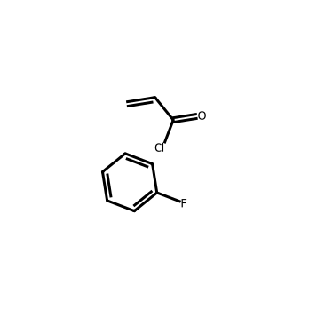 C=CC(=O)Cl.Fc1ccccc1